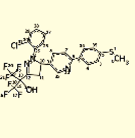 CSc1ccc(-c2ccc(C3CC(C(O)(C(F)(F)F)C(F)(F)F)=NN3c3ccccc3Cl)cn2)cc1